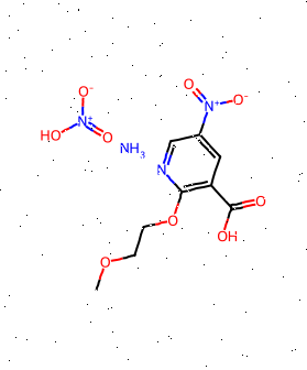 COCCOc1ncc([N+](=O)[O-])cc1C(=O)O.N.O=[N+]([O-])O